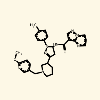 COc1ccc(CN2CCCC(C3=NN(c4ccc(C)cc4)C(NC(=O)c4cnn5cccnc45)C3)C2)cn1